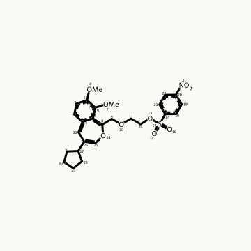 COc1ccc2c(c1OC)=C(COCCOS(=O)(=O)c1ccc([N+](=O)[O-])cc1)OC=C(C1CCCC1)C=2